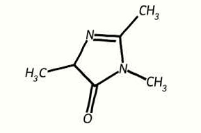 CC1=NC(C)C(=O)N1C